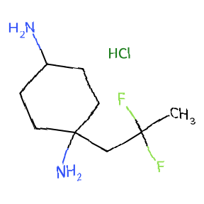 CC(F)(F)CC1(N)CCC(N)CC1.Cl